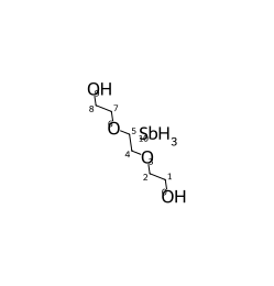 OCCOCCOCCO.[SbH3]